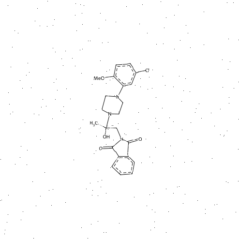 COc1ccc(Cl)cc1N1CCN(C(C)(O)CN2C(=O)c3ccccc3C2=O)CC1